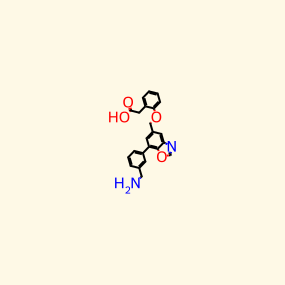 NCc1cccc(-c2cc(COc3ccccc3CC(=O)O)cc3ncoc23)c1